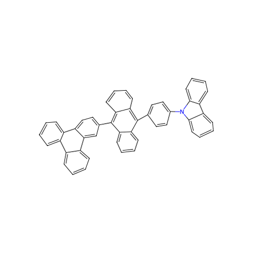 c1ccc2c(-c3ccc4c5ccccc5c5ccccc5c4c3)c3ccccc3c(-c3ccc(-n4c5ccccc5c5ccccc54)cc3)c2c1